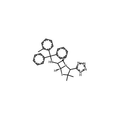 Cc1ccccc1C(NC1C(=O)N2C(c3nnn[nH]3)C(C)(C)S[C@H]12)(c1ccccc1)c1ccccc1